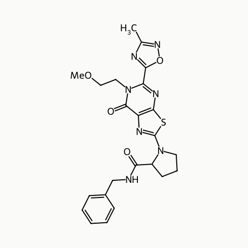 COCCn1c(-c2nc(C)no2)nc2sc(N3CCCC3C(=O)NCc3ccccc3)nc2c1=O